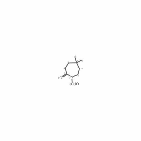 CC1(C)CCC(=O)N(C=O)CC1